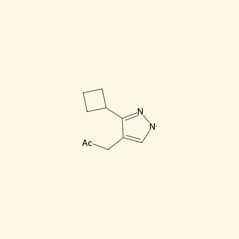 CC(=O)CC1=C[N]N=C1C1CCC1